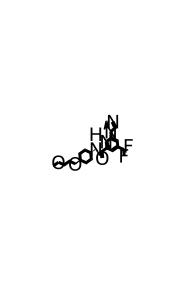 COCCO[C@H]1CC[C@H](NC(=O)c2cc(C(F)F)cc(-n3ccnc3)n2)CC1